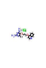 CCc1nc(N)nc(N)c1OCCCOc1ccnc2ccccc12.Cl.Cl